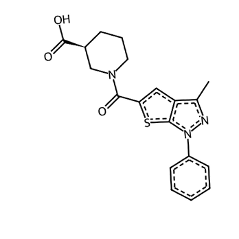 Cc1nn(-c2ccccc2)c2sc(C(=O)N3CCC[C@H](C(=O)O)C3)cc12